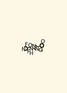 COc1ccc(OC)c(-c2cnc(NC(=O)c3c(F)cncc3F)cn2)c1